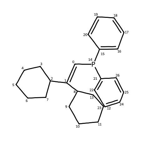 C(=C(C1CCCCC1)C1CCCCC1)P(c1ccccc1)c1ccccc1